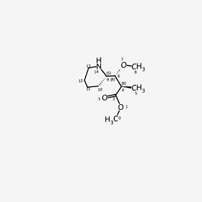 COC(=O)[C@H](C)[C@@H](OC)[C@@H]1CCCCN1